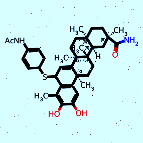 CC(=O)NC1=CCC(SC2C=C3[C@@](C)(CC[C@@]4(C)[C@@H]5C[C@](C)(C(N)=O)CC[C@]5(C)CC[C@]34C)c3cc(O)c(O)c(C)c32)C=C1